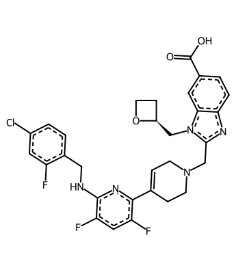 O=C(O)c1ccc2nc(CN3CC=C(c4nc(NCc5ccc(Cl)cc5F)c(F)cc4F)CC3)n(C[C@@H]3CCO3)c2c1